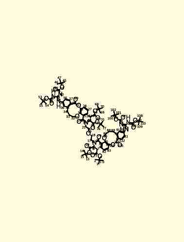 CC(C)(C)OC(=O)C[C@@H](C(=O)OC(C)(C)C)N(CCOCCN(C(=O)c1cccc2c1OCCCc1cc(NC(=NC(=O)OC(C)(C)C)NC(=O)OC(C)(C)C)ccc1C(=O)O2)[C@@H](CC(=O)OC(C)(C)C)C(=O)OC(C)(C)C)C(=O)c1cccc2c1OCCCc1cc(NC(=NC(=O)OC(C)(C)C)NC(=O)OC(C)(C)C)ccc1C(=O)O2